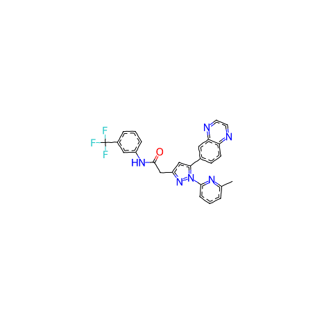 Cc1cccc(-n2nc(CC(=O)Nc3cccc(C(F)(F)F)c3)cc2-c2ccc3nccnc3c2)n1